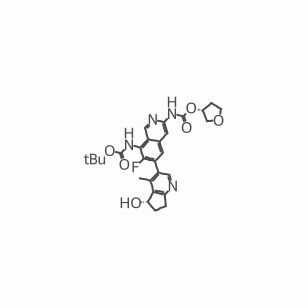 Cc1c(-c2cc3cc(NC(=O)O[C@@H]4CCOC4)ncc3c(NC(=O)OC(C)(C)C)c2F)cnc2c1[C@@H](O)CC2